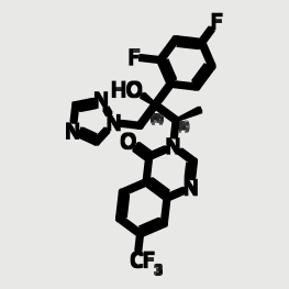 C[C@@H](n1cnc2cc(C(F)(F)F)ccc2c1=O)[C@](O)(Cn1cncn1)c1ccc(F)cc1F